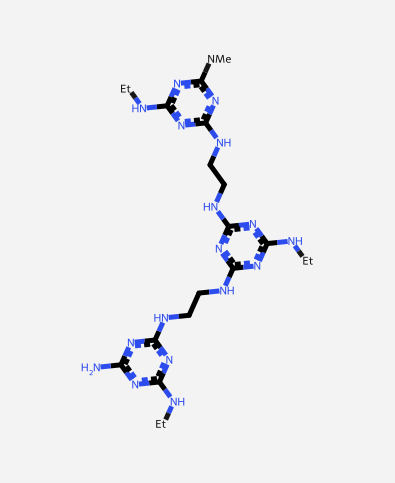 CCNc1nc(N)nc(NCCNc2nc(NCC)nc(NCCNc3nc(NC)nc(NCC)n3)n2)n1